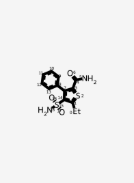 CCc1sc(C(N)=O)c(-c2ccccc2)c1S(N)(=O)=O